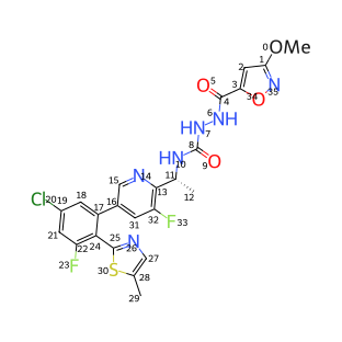 COc1cc(C(=O)NNC(=O)N[C@H](C)c2ncc(-c3cc(Cl)cc(F)c3-c3ncc(C)s3)cc2F)on1